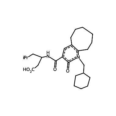 CC(C)CC(CC(=O)O)NC(=O)c1cc2c(n(CC3CCCCC3)c1=O)CCCCCC2